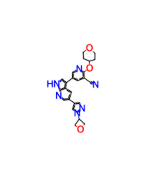 N#Cc1cc(-c2c[nH]c3ncc(-c4cnn(C5COC5)c4)cc23)cnc1OC1CCOCC1